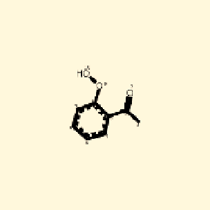 CC(=O)c1ccccc1OO